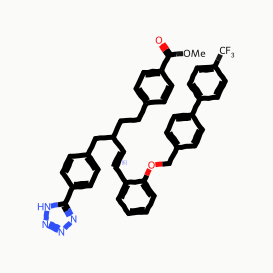 COC(=O)c1ccc(CCC(/C=C/c2ccccc2OCc2ccc(-c3ccc(C(F)(F)F)cc3)cc2)Cc2ccc(-c3nnn[nH]3)cc2)cc1